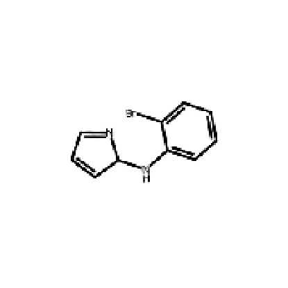 Brc1ccccc1NC1C=CC=N1